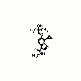 CNC(=O)c1cnn2c(C3CC3)c(OCC(C)(C)O)ccc12